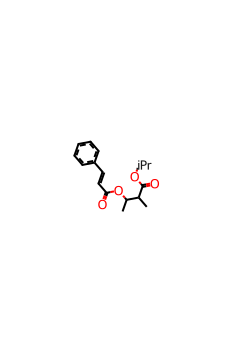 CC(C)OC(=O)C(C)C(C)OC(=O)C=Cc1ccccc1